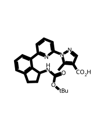 Cc1c(C(=O)O)cnn1-c1cccc(-c2cccc3c2C(NC(=O)OC(C)(C)C)CC3)n1